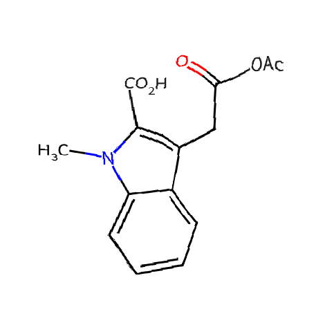 CC(=O)OC(=O)Cc1c(C(=O)O)n(C)c2ccccc12